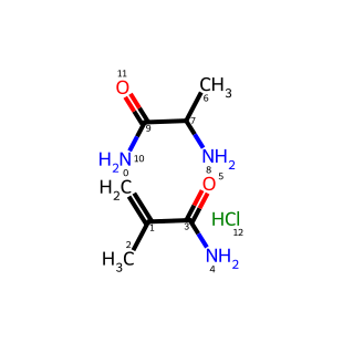 C=C(C)C(N)=O.CC(N)C(N)=O.Cl